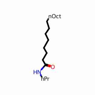 [CH2]CCNC(=O)CCCCCCCCCCCCCCC